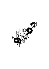 B[C@]12C[C@@H](N(C)c3cnc(-c4ccc(-n5ccnc5)cc4O)nn3)[C@H](F)[C@](C)(C[C@H]1F)C2